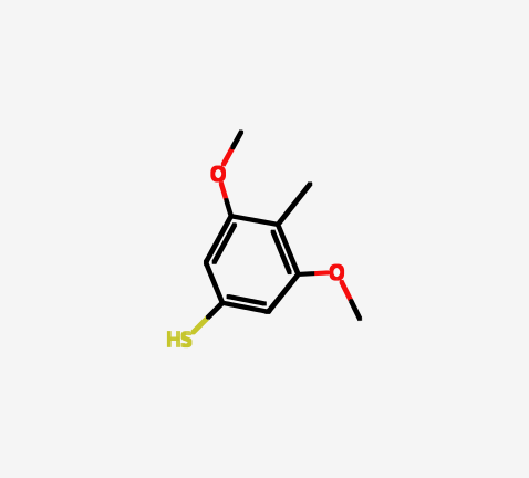 COc1cc(S)cc(OC)c1C